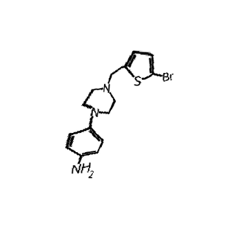 Nc1ccc(N2CCN(Cc3ccc(Br)s3)CC2)cc1